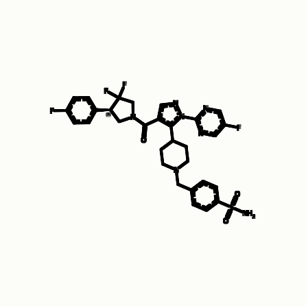 NS(=O)(=O)c1ccc(CN2CCC(c3c(C(=O)N4C[C@@H](c5ccc(F)cc5)C(F)(F)C4)cnn3-c3ncc(F)cn3)CC2)cc1